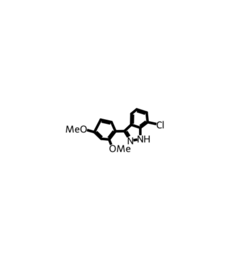 COc1ccc(-c2n[nH]c3c(Cl)cccc23)c(OC)c1